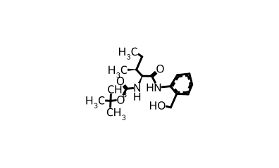 CC[C@H](C)[C@H](NC(=O)OC(C)(C)C)C(=O)Nc1ccccc1CO